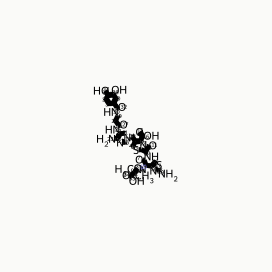 CC(C)(O/N=C(\C(=O)N[C@@H]1C(=O)N2C(C(=O)O)=C(C[n+]3cnc(N)c(NC(=O)CCNC(=O)c4ccc(O)c(O)c4)c3)CSC12)c1csc(N)n1)C(=O)O